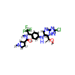 CO[C@@H](C)c1c(Nc2ccc([C@H](N(C)C(=O)C3CCN(C)C3)C(F)(F)F)cc2)cnc2nc(Cl)nn12